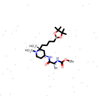 CC(C)[C@@H](NC(=O)OC(C)(C)C)C(=O)N[C@H]1CCN(C(=O)O)[C@@](CCCCB2OC(C)(C)C(C)(C)O2)(C(=O)O)C1